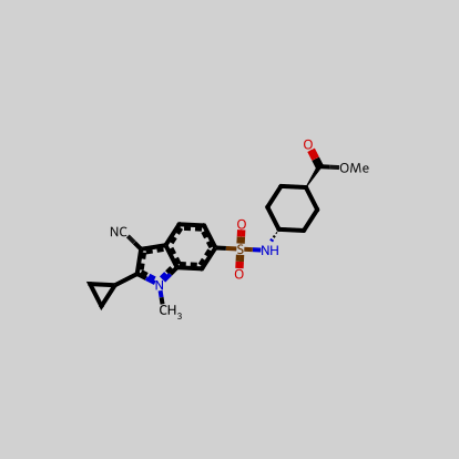 COC(=O)[C@H]1CC[C@H](NS(=O)(=O)c2ccc3c(C#N)c(C4CC4)n(C)c3c2)CC1